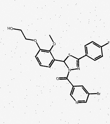 COc1c(OCCO)cccc1C1SC(c2ccc(F)cc2)=NN1C(=O)c1cncc(Br)c1